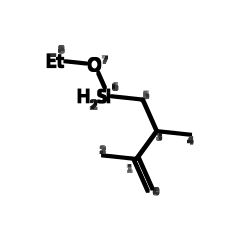 C=C(C)C(C)C[SiH2]OCC